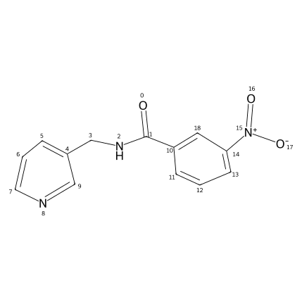 O=C(NCc1cccnc1)c1cccc([N+](=O)[O-])c1